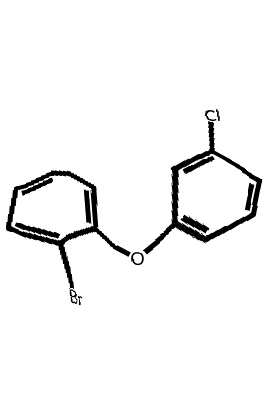 Clc1cccc(Oc2ccccc2Br)c1